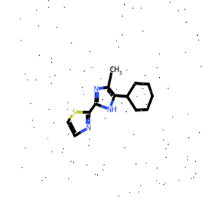 Cc1nc(-c2nccs2)[nH]c1C1CCCCC1